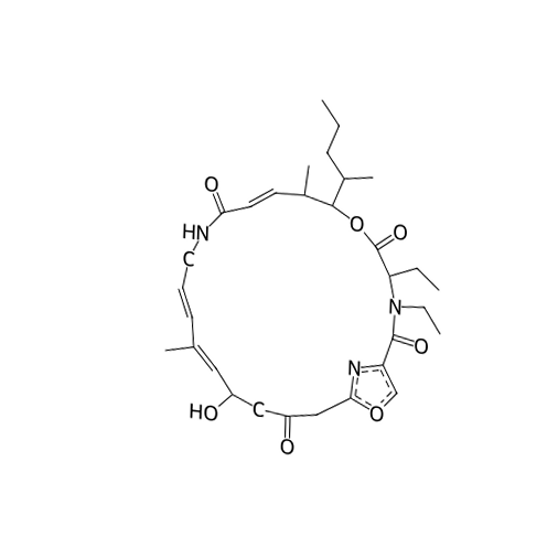 CCCC(C)C1OC(=O)C(CC)N(CC)C(=O)c2coc(n2)CC(=O)CC(O)/C=C(C)/C=C/CNC(=O)/C=C/C1C